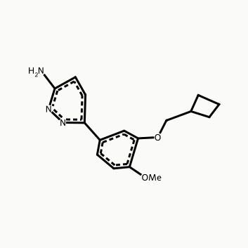 COc1ccc(-c2ccc(N)nn2)cc1OCC1CCC1